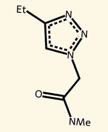 CCc1cn(CC(=O)NC)nn1